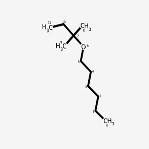 CCCCCCOC(C)(C)CC